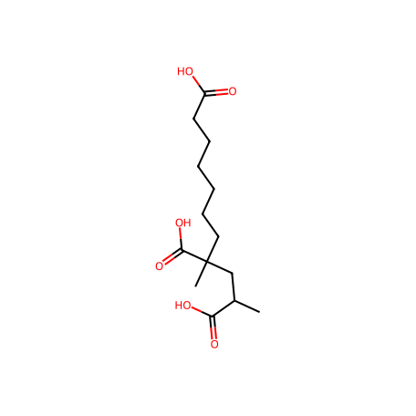 CC(CC(C)(CCCCCCC(=O)O)C(=O)O)C(=O)O